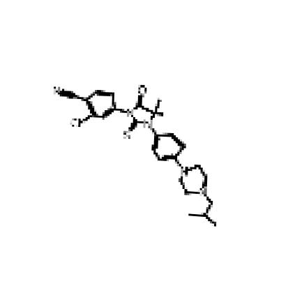 CC(C)CN1CCN(c2ccc(N3C(=S)N(c4ccc(C#N)c(Cl)c4)C(=O)C3(C)C)cc2)CC1